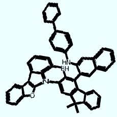 CC1(C)c2ccccc2-c2c1cc1c(c2-c2cc3ccccc3cc2Nc2ccc(-c3ccccc3)cc2)Bc2cccc3c4c5ccccc5oc4n-1c23